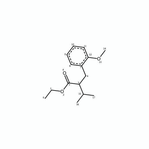 CCOC(=O)C(Cc1ccccc1OC)C(C)C